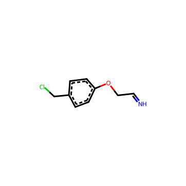 N=CCOc1ccc(CCl)cc1